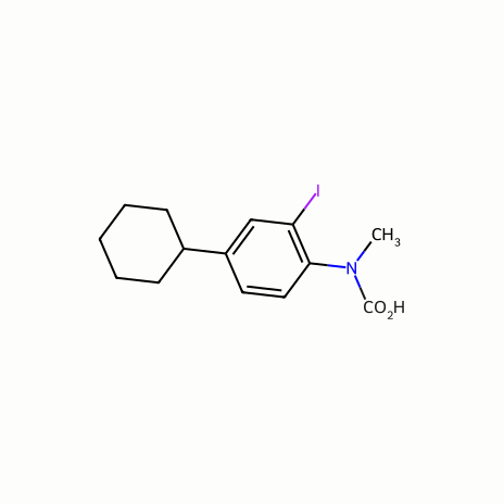 CN(C(=O)O)c1ccc(C2CCCCC2)cc1I